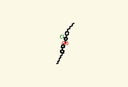 CCCCCCCCc1ccc(-c2ccc(OC(=O)c3ccc(C4CCC(CCCCCC)CC4)c(Cl)c3)cc2)cc1